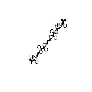 C=C(C)C(=O)NCCOC(=O)C(=O)OCCCOC(=O)C(=O)OCCNC(=O)C(=C)C